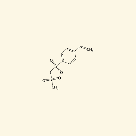 C=Cc1ccc(S(=O)(=O)CS(C)(=O)=O)cc1